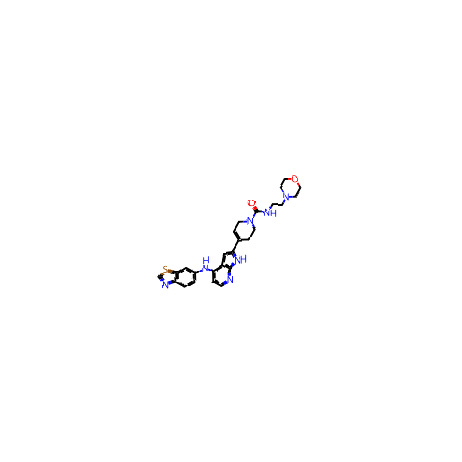 O=C(NCCN1CCOCC1)N1CC=C(c2cc3c(Nc4ccc5ncsc5c4)ccnc3[nH]2)CC1